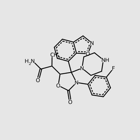 CC(C(N)=O)C1OC(=O)N(c2cccc(F)c2)C1(c1cccc2cnoc12)N1CCNCC1